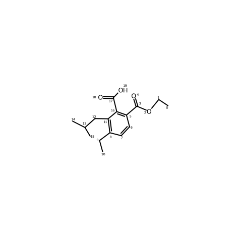 CCOC(=O)c1ccc(CC)c(CC(C)C)c1C(=O)O